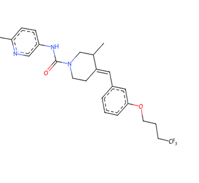 Cc1ccc(NC(=O)N2CCC(=Cc3cccc(OCCCC(F)(F)F)c3)C(C)C2)cn1